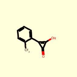 O=c1c(O)c1-c1ccccc1C(F)(F)F